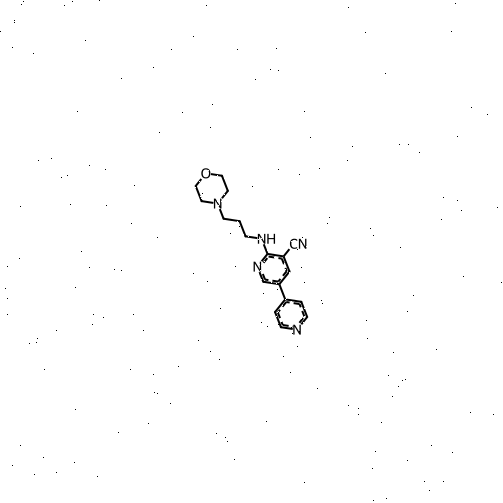 N#Cc1cc(-c2ccncc2)cnc1NCCCN1CCOCC1